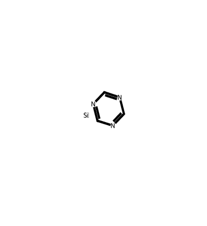 [Si].c1ncncn1